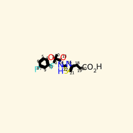 CC(C)(Oc1ccc(F)cc1F)C(=O)Nc1nc(CCC(=O)O)cs1